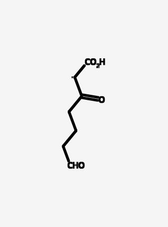 O=CCCCC(=O)[CH]C(=O)O